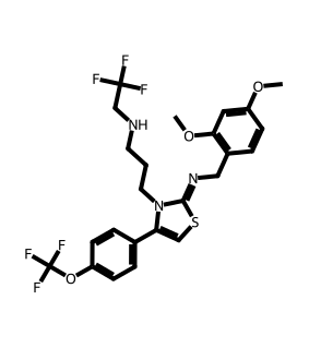 COc1ccc(C/N=c2\scc(-c3ccc(OC(F)(F)F)cc3)n2CCCNCC(F)(F)F)c(OC)c1